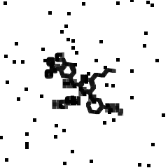 CCCCc1cc(N2CCCC(N)C2)nc(Nc2ccc(Cl)c([N+](=O)[O-])c2)n1.Cl.Cl